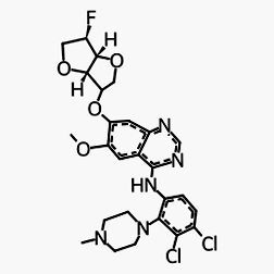 COc1cc2c(Nc3ccc(Cl)c(Cl)c3N3CCN(C)CC3)ncnc2cc1OC1CO[C@H]2[C@H](F)CO[C@@H]12